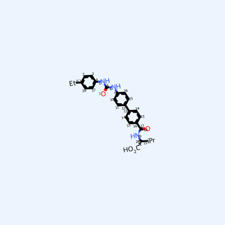 CCc1ccc(NC(=O)Nc2ccc(-c3ccc(C(=O)N[C@H](C(=O)O)C(C)C)cc3)cc2)cc1